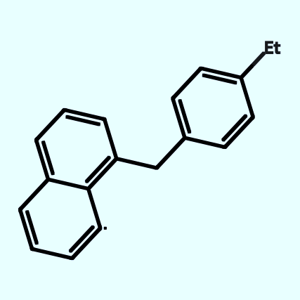 CCc1ccc(Cc2cccc3ccc[c]c23)cc1